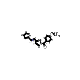 O=C(c1ccc(OC(F)(F)F)cc1)n1ccc(/C=C/c2cccs2)n1